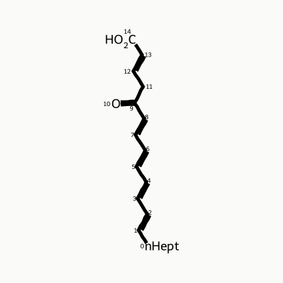 CCCCCCCC=CC=CC=CC=CC(=O)CC=CC(=O)O